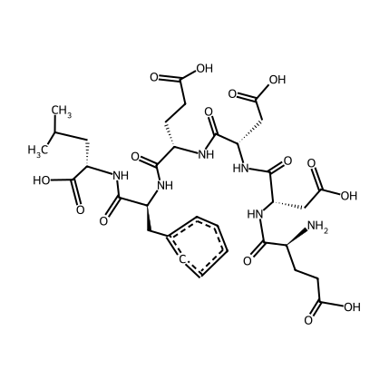 CC(C)C[C@H](NC(=O)[C@H](Cc1ccccc1)NC(=O)[C@H](CCC(=O)O)NC(=O)[C@H](CC(=O)O)NC(=O)[C@H](CC(=O)O)NC(=O)[C@@H](N)CCC(=O)O)C(=O)O